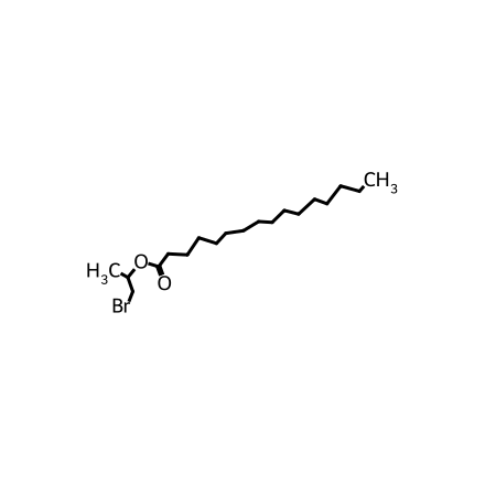 CCCCCCCCCCCCCCCC(=O)OC(C)CBr